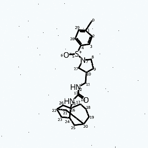 Cc1ccc([S+]([O-])N2CCC(CNC(=O)NC34CCCC5CC(CC3C5)C4)C2)cc1